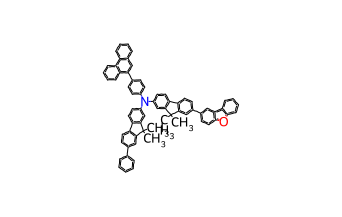 CC1(C)c2cc(-c3ccccc3)ccc2-c2ccc(N(c3ccc(-c4cc5ccccc5c5ccccc45)cc3)c3ccc4c(c3)C(C)(C)c3cc(-c5ccc6oc7ccccc7c6c5)ccc3-4)cc21